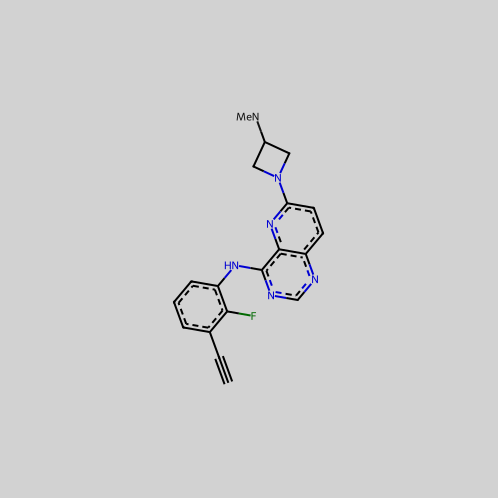 C#Cc1cccc(Nc2ncnc3ccc(N4CC(NC)C4)nc23)c1F